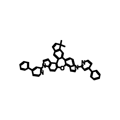 CC1(C)C=Cc2cc3c(cc21)-c1ccc2c(ccn2-c2cc(-c4ccccc4)ccn2)c1Oc1ccc2c(ccn2-c2cc(-c4ccccc4)ccn2)c1-3